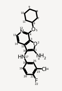 Nc1oc2c(OC3CCCCC3)nccc2c1Nc1ccc(F)c(Cl)c1